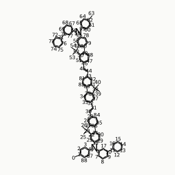 Cc1ccc(N(c2cccc(-c3ccccc3)c2)c2ccc3c(c2)C(C)(C)c2cc(/C=C/c4ccc5c(c4)C(C)(C)c4cc(/C=C/c6ccc7c(c6)C(C)(C)c6cc(N(c8ccc(C)cc8)c8cccc(-c9ccccc9)c8)ccc6-7)ccc4-5)ccc2-3)cc1